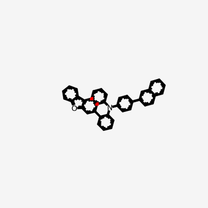 c1ccc(N(c2ccc(-c3ccc4ccccc4c3)cc2)c2ccccc2-c2ccc3c(c2)oc2ccccc23)cc1